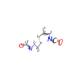 CC(=CN=C=O)CCC(C)CN=C=O